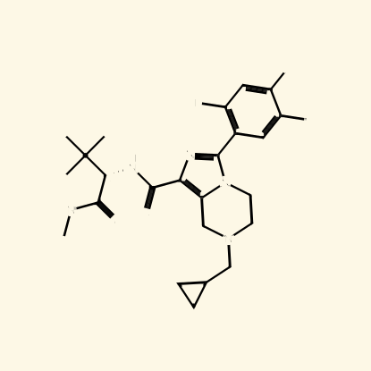 CNC(=O)[C@@H](NC(=O)c1nc(-c2cc(F)c(F)cc2F)n2c1CN(CC1CC1)CC2)C(C)(C)C